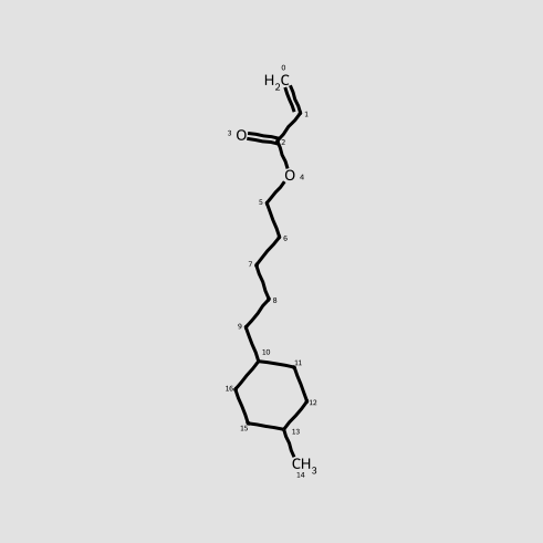 C=CC(=O)OCCCCCC1CCC(C)CC1